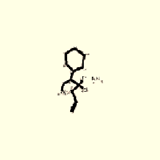 C=CCC(Cl)(CC)C(CCCCCCCCCC)C1CCCCC1.N